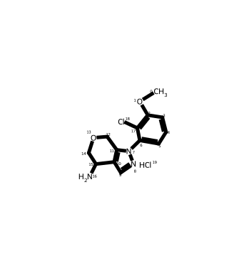 COc1cccc(-n2ncc3c2COCC3N)c1Cl.Cl